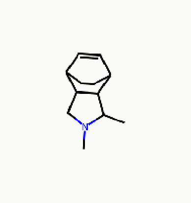 CC1C2C3C=CC(CC3)C2CN1C